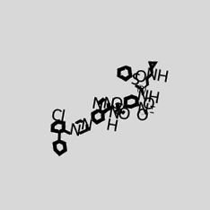 O=C(C[C@H](CSc1ccccc1)Nc1ccc(S(=O)(=O)Nc2ncnc3cc(N4CCN(Cc5cc(Cl)ccc5-c5ccccc5)CC4)ccc23)cc1[N+](=O)[O-])NC1CC1